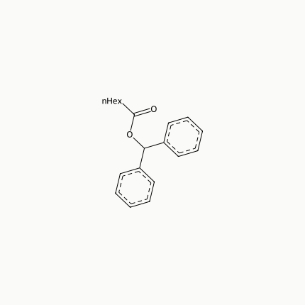 [CH2]CCCCCC(=O)OC(c1ccccc1)c1ccccc1